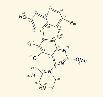 COc1nc2c3c(c(Cl)c(-c4cc(O)cc5ccc(F)c(F)c45)c(F)c3n1)OC[C@@H]1CNCCN21